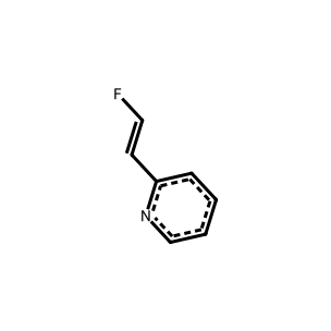 FC=Cc1ccccn1